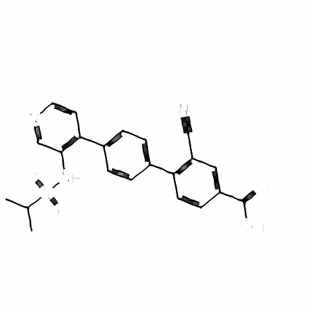 CC(C)S(=O)(=O)Nc1cnccc1-c1ccc(-c2ccc(C(=O)O)cc2C#N)cc1